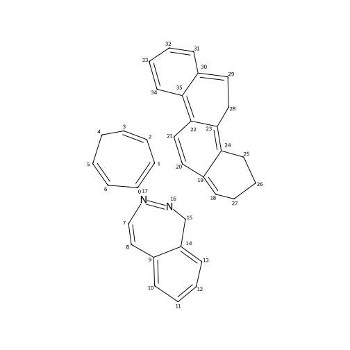 C1=CC=CCC=C1.C1=Cc2ccccc2CN=N1.C1=c2ccc3c(c2CCC1)CC=c1ccccc1=3